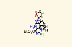 [2H]C([2H])([2H])c1ccc2c(cnn2C2CCCCO2)c1-c1nc(Cl)nc(C(=O)OCC)c1N